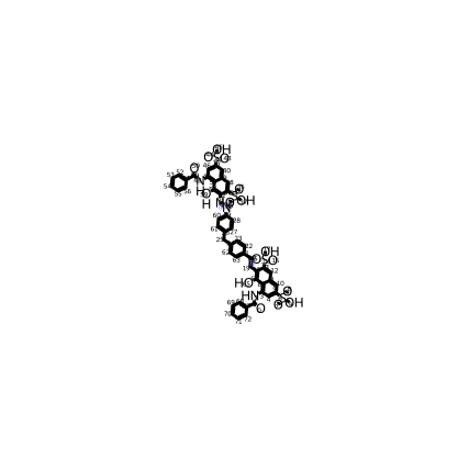 O=C(Nc1cc(S(=O)(=O)O)cc2cc(S(=O)(=O)O)c(/C=C/c3ccc(Cc4ccc(/N=N/c5c(S(=O)(=O)O)cc6cc(S(=O)(=O)O)cc(NC(=O)c7ccccc7)c6c5O)cc4)cc3)c(O)c12)c1ccccc1